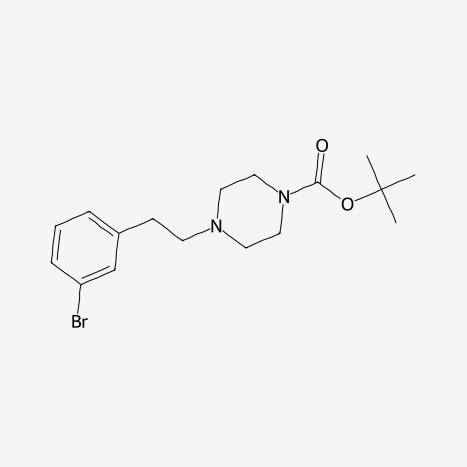 CC(C)(C)OC(=O)N1CCN(CCc2cccc(Br)c2)CC1